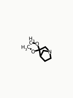 COC1(OC)CN2CCC1C2